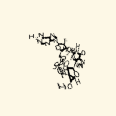 Nc1nc2c(nnn2[C@@H]2O[C@@H]3C(O)[C@@]3(F)[C@H]2OP(O)(=S)OC[C@H]2O[C@@H](n3cnc4c(N)ncnc43)[C@@H](F)[C@@H]2O)c(=O)[nH]1